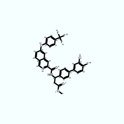 COC(=O)CC(NC(=O)c1cc2cc(Oc3ccc(C(F)(F)F)cc3)ccc2cn1)c1ccc(-c2ccc(F)c(Cl)c2)cc1